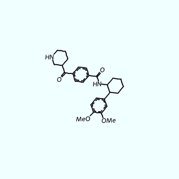 COc1ccc(C2CCCCC2NC(=O)c2ccc(C(=O)C3CCCNC3)cc2)cc1OC